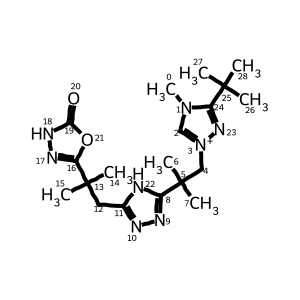 Cn1c[n+](CC(C)(C)c2nnc(CC(C)(C)c3n[nH]c(=O)o3)[nH]2)nc1C(C)(C)C